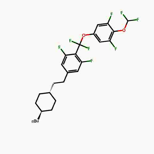 CCCC[C@H]1CC[C@H](CCc2cc(F)c(C(F)(F)Oc3cc(F)c(OC(F)F)c(F)c3)c(F)c2)CC1